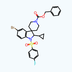 O=C(OCc1ccccc1)N1CCC2(CC1)c1cc(Br)ccc1N(S(=O)(=O)c1ccc(F)cc1)C2C1CC1